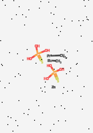 CC(C)C.CCC(C)C.OP(O)(O)=S.OP(O)(O)=S.[Zn]